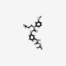 COc1cccc(N(CCC#N)C(=O)Oc2cccc(NC(=O)OC(C)C)c2)c1